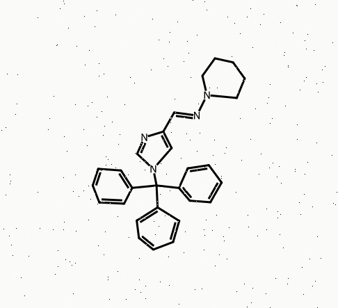 C(=NN1CCCCC1)c1cn(C(c2ccccc2)(c2ccccc2)c2ccccc2)cn1